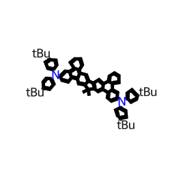 CC(C)(C)c1ccc(N(c2ccc(C(C)(C)C)cc2)c2ccc3c(c2)c2ccccc2c2cc4c(cc32)C(C)(C)c2cc3c5ccc(N(c6ccc(C(C)(C)C)cc6)c6ccc(C(C)(C)C)cc6)cc5c5ccccc5c3cc2-4)cc1